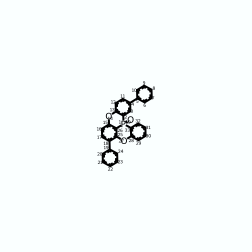 O=P12c3cc(-c4ccccc4)ccc3Oc3ccc(-c4ccccc4)c(c31)Oc1ccccc12